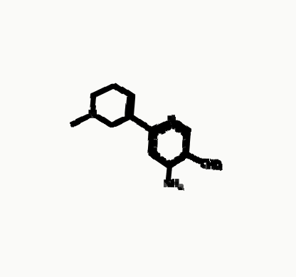 CN1CCC=C(c2cc(N)c(C=O)cn2)C1